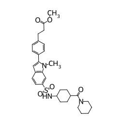 COC(=O)CCc1ccc(-c2cc3ccc(S(=O)(=O)NC4CCC(C(=O)N5CCCCC5)CC4)cc3n2C)cc1